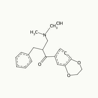 CN(C)CC(Cc1ccccc1)C(=O)c1ccc2c(c1)OCCO2.Cl